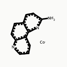 Nc1ccc2ccc3ncccc3c2n1.[Co]